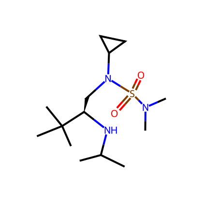 CC(C)N[C@H](CN(C1CC1)S(=O)(=O)N(C)C)C(C)(C)C